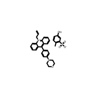 C=CC[n+]1c2ccccc2c(-c2ccc(N3CCOCC3)cc2)c2ccccc21.Cc1ccc(O)cc1S(=O)(=O)[O-]